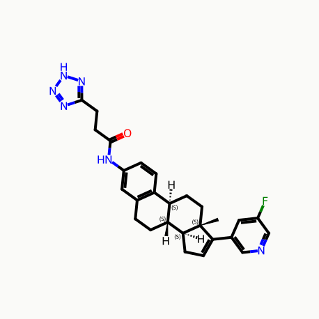 C[C@]12CC[C@@H]3c4ccc(NC(=O)CCc5nn[nH]n5)cc4CC[C@H]3[C@@H]1CC=C2c1cncc(F)c1